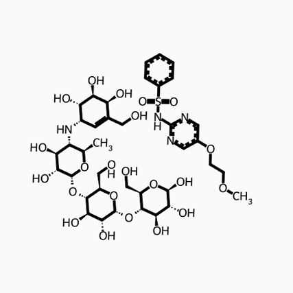 COCCOc1cnc(NS(=O)(=O)c2ccccc2)nc1.C[C@H]1O[C@H](O[C@H]2[C@H](O)[C@@H](O)[C@@H](O[C@H]3[C@H](O)[C@@H](O)[C@H](O)O[C@@H]3CO)O[C@@H]2CO)[C@H](O)[C@@H](O)[C@@H]1N[C@H]1C=C(CO)[C@H](O)[C@H](O)[C@H]1O